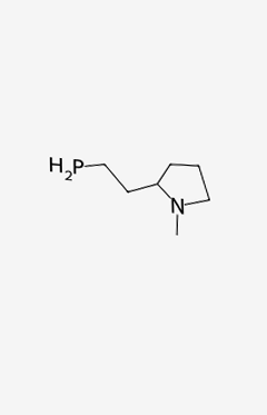 CN1CCCC1CCP